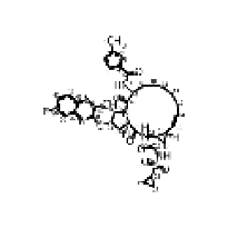 Cc1ccc(C(=O)N[C@H]2CCCCC/C=C\[C@@H]3C[C@@]3(C(=O)NS(=O)(=O)C3CC3)NC(=O)[C@@H]3C[C@@H](Oc4nc5cc(F)ccc5nc4C)CN3C2=O)s1